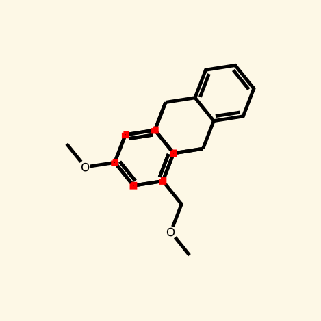 COCc1cc(OC)cc2c1C1c3ccccc3C2c2ccccc21